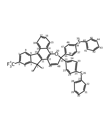 CC1(C)c2cc(C(F)(F)F)ccc2-c2c1c1c(c3ccccc23)OC(c2ccc(Sc3ccccc3)cc2)(c2ccc(Sc3ccccc3)cc2)C=C1